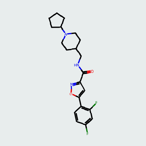 O=C(NCC1CCN(C2CCCC2)CC1)c1cc(-c2ccc(F)cc2F)on1